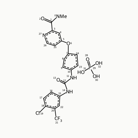 CNC(=O)c1cc(Oc2ccc(NC(=O)Nc3ccc(Cl)c(C(F)(F)F)c3)cc2)ccn1.O=P(O)(O)O